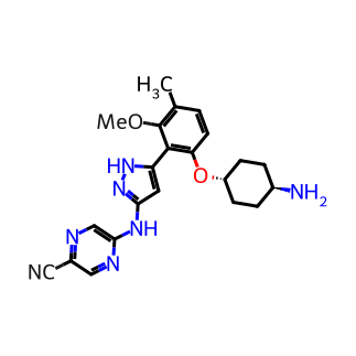 COc1c(C)ccc(O[C@H]2CC[C@H](N)CC2)c1-c1cc(Nc2cnc(C#N)cn2)n[nH]1